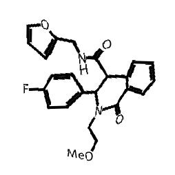 COCCN1C(=O)c2ccccc2C(C(=O)NCc2ccco2)C1c1ccc(F)cc1